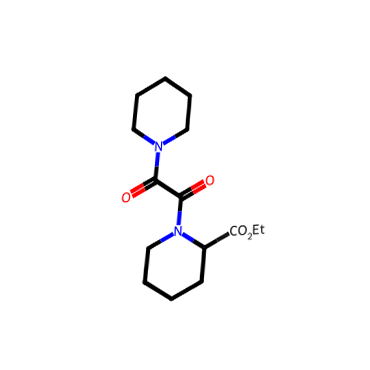 CCOC(=O)C1CCCCN1C(=O)C(=O)N1CCCCC1